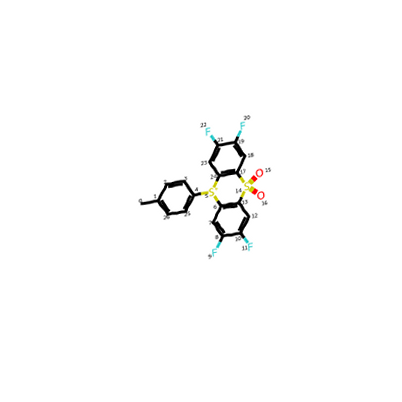 Cc1ccc([S+]2c3cc(F)c(F)cc3S(=O)(=O)c3cc(F)c(F)cc32)cc1